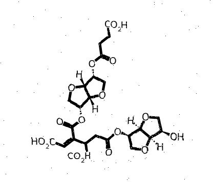 O=C(O)/C=C(\C(=O)O[C@@H]1CO[C@H]2[C@@H]1OC[C@H]2OC(=O)CCC(=O)O)C(CC(=O)O[C@@H]1CO[C@H]2[C@@H]1OC[C@H]2O)C(=O)O